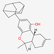 CC1=CC[C@@H]2[C@@H](C1)c1c(O)cc(C34CC5CC(CC(C5)C3)C4)cc1OC2(C)C